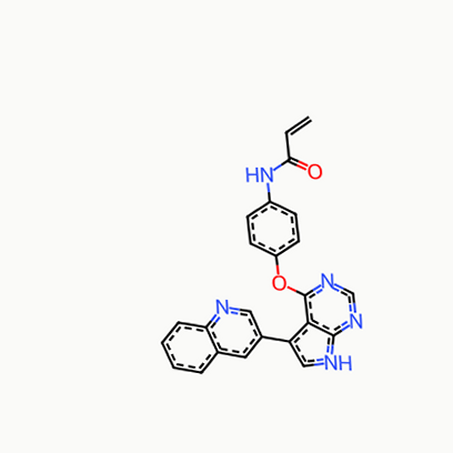 C=CC(=O)Nc1ccc(Oc2ncnc3[nH]cc(-c4cnc5ccccc5c4)c23)cc1